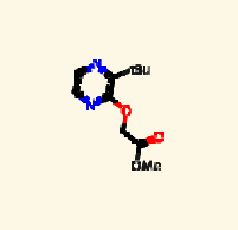 COC(=O)COc1nccnc1C(C)(C)C